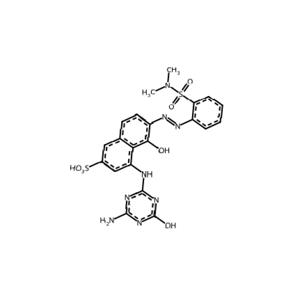 CN(C)S(=O)(=O)c1ccccc1N=Nc1ccc2cc(S(=O)(=O)O)cc(Nc3nc(N)nc(O)n3)c2c1O